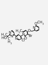 COc1cccc(COc2cc(C)n(-c3cc(-c4ccnc(C(C)(C)O)n4)ncc3Cl)c(=O)c2Br)n1